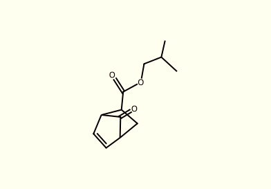 CC(C)COC(=O)C1CC2C=CC1C2=O